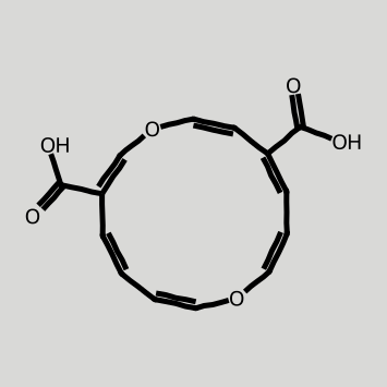 O=C(O)C1=CC=COC=CC=CC(C(=O)O)=COC=C1